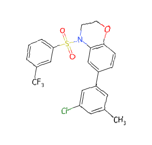 Cc1cc(Cl)cc(-c2ccc3c(c2)N(S(=O)(=O)c2cccc(C(F)(F)F)c2)CCO3)c1